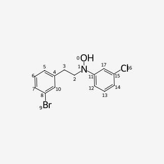 ON(CCc1cccc(Br)c1)c1cccc(Cl)c1